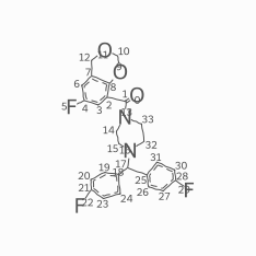 O=C(c1cc(F)cc2c1OCOC2)N1CCN(C(c2ccc(F)cc2)c2ccc(F)cc2)CC1